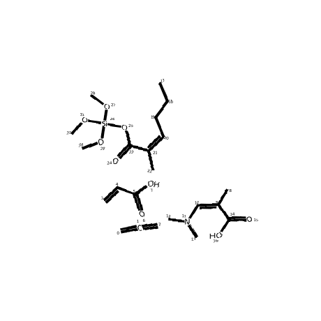 C=C=C.C=CC(=O)O.CC(=CN(C)C)C(=O)O.CCCC=C(C)C(=O)O[Si](OC)(OC)OC